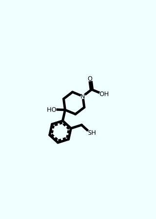 O=C(O)N1CCC(O)(c2ccccc2CS)CC1